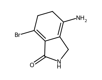 NC1=C2CNC(=O)C2=C(Br)CC1